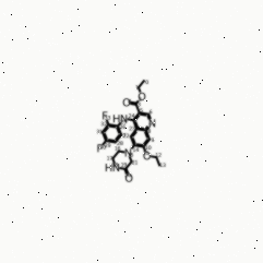 CCOC(=O)c1cnc2cc(OCC)c(N3CCNC(=O)C3)cc2c1Nc1ccc(F)cc1F